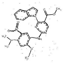 COC(=O)c1cnc(Nc2cc([N+](=O)[O-])c(N(C)C)cc2OC)nc1-n1ccc2ccccc21